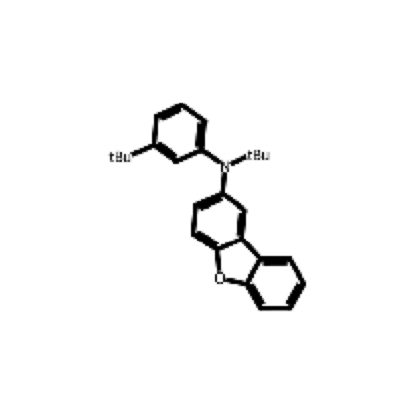 CC(C)(C)c1cccc(N(c2ccc3oc4ccccc4c3c2)C(C)(C)C)c1